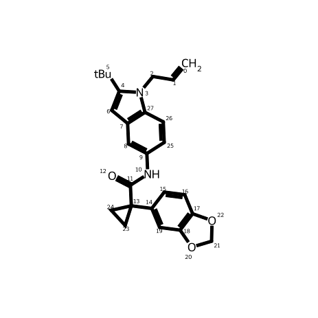 C=CCn1c(C(C)(C)C)cc2cc(NC(=O)C3(c4ccc5c(c4)OCO5)CC3)ccc21